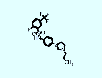 CCCN1CC[C@@H](c2ccc(NS(=O)(=O)c3cc(C(F)(F)F)ccc3F)cc2)C1